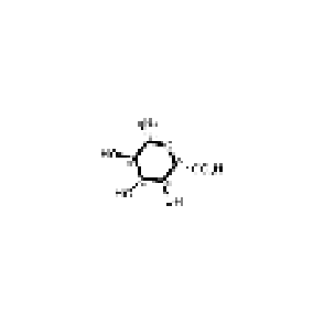 CCCC[C@@H]1O[C@H](C(=O)O)[C@@H](O)[C@H](O)[C@H]1O